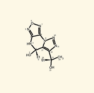 CC[C@@]1(O)Nc2nonc2-n2nnc([C@](C)(O)CC)c21